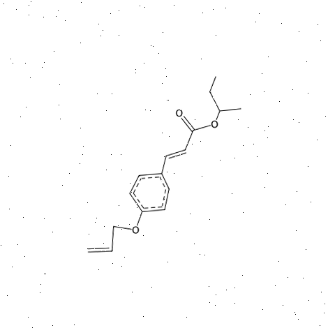 C=CCOc1ccc(/C=C/C(=O)OC(C)CC)cc1